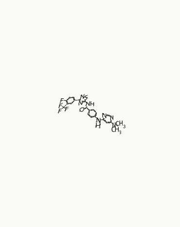 CN(C)c1cc(Nc2ccc(C(=O)Nc3nc(-c4ccc(F)c(C(F)(F)F)c4)ns3)cc2)ncn1